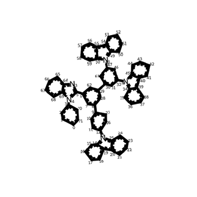 c1ccc(-n2c(-c3cc(-c4ccc(-n5c6ccccc6c6ccccc65)cc4)cc(-c4cc(-n5c6ccccc6c6ccccc65)cc(-n5c6ccccc6c6ccccc65)c4)c3)nc3ccccc32)cc1